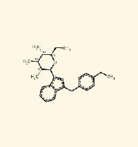 CCc1ccc(Cc2cn(C3O[C@H](CC)[C@@H](C)[C@H](C)[C@H]3C)c3ccccc23)cc1